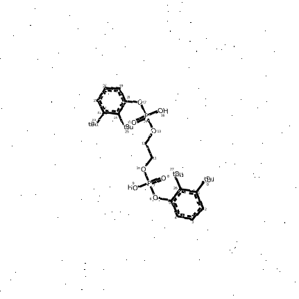 CC(C)(C)c1cccc(OP(=O)(O)OCCOP(=O)(O)Oc2cccc(C(C)(C)C)c2C(C)(C)C)c1C(C)(C)C